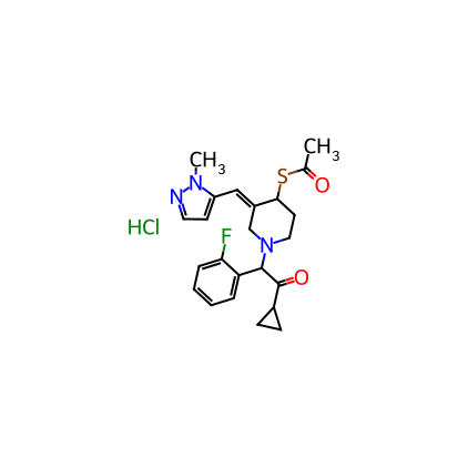 CC(=O)SC1CCN(C(C(=O)C2CC2)c2ccccc2F)C/C1=C\c1ccnn1C.Cl